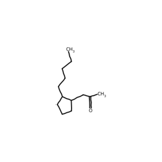 CCCCCC1[CH]CCC1CC(C)=O